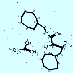 C=C(C)C(=O)O.CC(CC1CCCCCCC1)=C(C)C(=O)OCC1CCCCCCC1